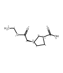 CCOC(=O)C[C@@H]1CCN(C(=O)O)C1